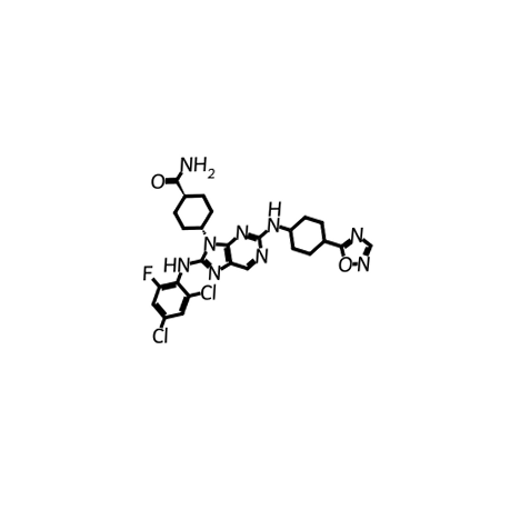 NC(=O)[C@H]1CC[C@H](n2c(Nc3c(F)cc(Cl)cc3Cl)nc3cnc(NC4CCC(c5ncno5)CC4)nc32)CC1